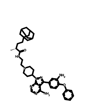 C[C@H](CCC12CC3CC(CC(C3)C1)C2)C(=O)NCCN1CCC(n2nc(-c3ccc(Oc4ccccc4)c(N)c3)c3c(N)ncnc32)CC1